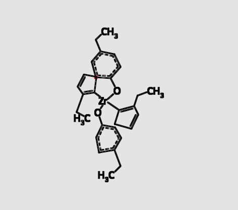 CCC1=[C]([Zr]([O]c2ccc(CC)cc2)([O]c2ccc(CC)cc2)[C]2=C(CC)C=CC2)CC=C1